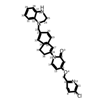 O=c1cc(OCc2ccc(Cl)cn2)ccn1C1=Cc2ccc(CN3CCNc4ccccc43)cc2CC1